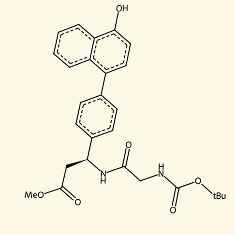 COC(=O)C[C@H](NC(=O)CNC(=O)OC(C)(C)C)c1ccc(-c2ccc(O)c3ccccc23)cc1